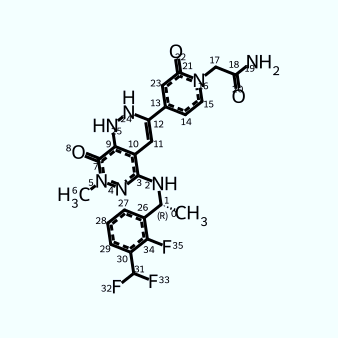 C[C@@H](Nc1nn(C)c(=O)c2c1C=C(c1ccn(CC(N)=O)c(=O)c1)NN2)c1cccc(C(F)F)c1F